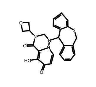 O=C1c2c(O)c(=O)ccn2N(C2c3ccccc3CSc3ccccc32)CN1C1COC1